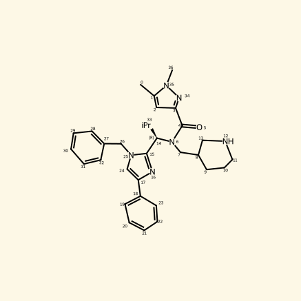 Cc1cc(C(=O)N(CC2CCCNC2)[C@@H](c2nc(-c3ccccc3)cn2Cc2ccccc2)C(C)C)nn1C